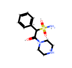 NS(=O)(=O)C(C(=O)N1CCNCC1)c1ccccc1